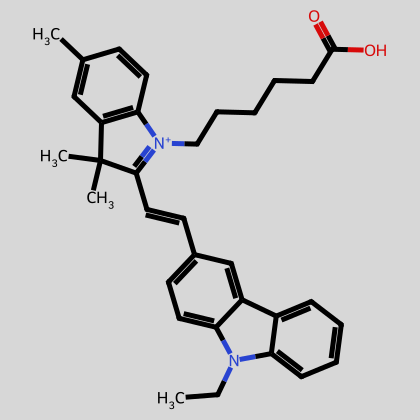 CCn1c2ccccc2c2cc(/C=C/C3=[N+](CCCCCC(=O)O)c4ccc(C)cc4C3(C)C)ccc21